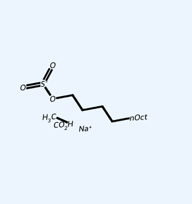 CC(=O)O.CCCCCCCCCCCCO[S-](=O)=O.[Na+]